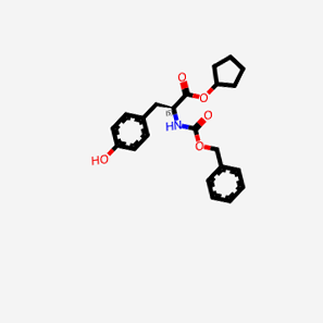 O=C(N[C@@H](Cc1ccc(O)cc1)C(=O)OC1CCCC1)OCc1ccccc1